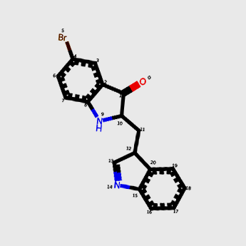 O=C1c2cc(Br)ccc2NC1CC1C=Nc2ccccc21